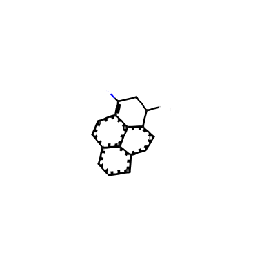 CC1CC(N)=c2ccc3cccc4ccc1c2c43